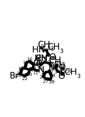 CN[C@@H](C)C(=O)N[C@@H]1C(=O)N(Cc2c(OC)ccc3cc(Br)ccc23)c2ccccc2N(C(=O)CS(C)(=O)=O)[C@H]1C